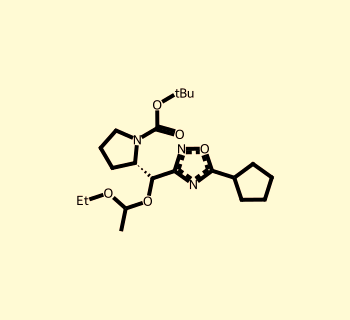 CCOC(C)OC(c1noc(C2CCCC2)n1)[C@@H]1CCCN1C(=O)OC(C)(C)C